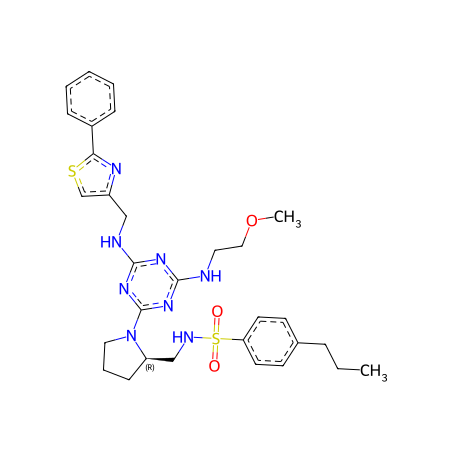 CCCc1ccc(S(=O)(=O)NC[C@H]2CCCN2c2nc(NCCOC)nc(NCc3csc(-c4ccccc4)n3)n2)cc1